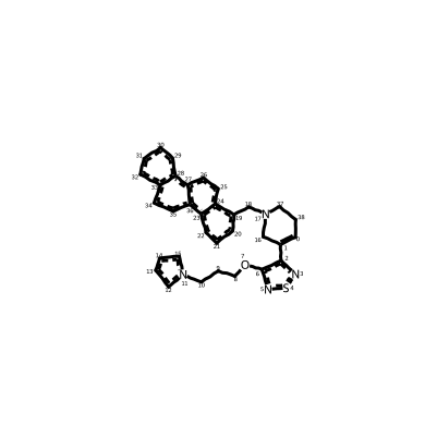 C1=C(c2nsnc2OCCCn2cccc2)CN(Cc2cccc3c2ccc2c4ccccc4ccc32)CC1